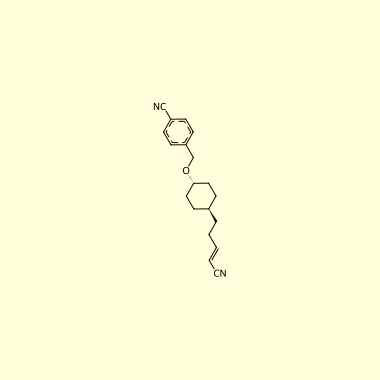 N#C/C=C/CC[C@H]1CC[C@H](OCc2ccc(C#N)cc2)CC1